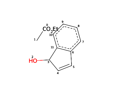 CCOC(C)=O.OC1C=Cc2ccccc21